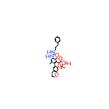 Cc1cc(NC(=O)NCCCc2ccccc2)c(C)c(C(OC(C)(C)C)C(=O)O)c1-c1ccc2c(c1)CCCO2